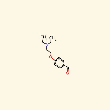 CCN(CC)CCOc1ccc(C=O)cc1